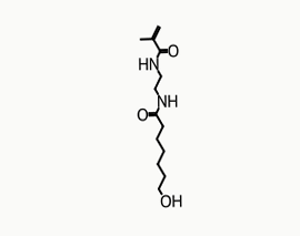 C=C(C)C(=O)NCCNC(=O)CCCCCCO